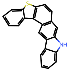 c1ccc2c(c1)[nH]c1cc3ccc4sc5ccccc5c4c3cc12